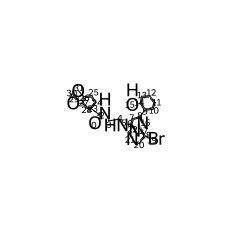 O=C(NCCNc1cc(-c2ccccc2O)nc2c(Br)cnn12)c1ccc2c(c1)OCO2